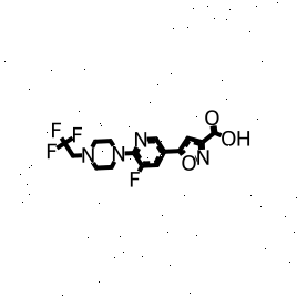 O=C(O)c1cc(-c2cnc(N3CCN(CC(F)(F)F)CC3)c(F)c2)on1